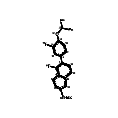 CCCCCCc1ccc2c(F)c(-c3ccc(OC(F)F)c(F)c3)ccc2c1